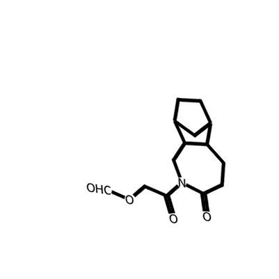 O=COCC(=O)N1CC2C3CCC(C3)C2CCC1=O